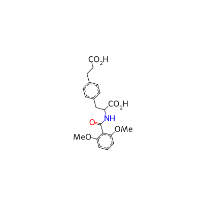 COc1cccc(OC)c1C(=O)NC(Cc1ccc(CCC(=O)O)cc1)C(=O)O